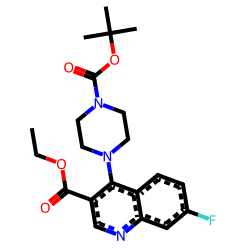 CCOC(=O)c1cnc2cc(F)ccc2c1N1CCN(C(=O)OC(C)(C)C)CC1